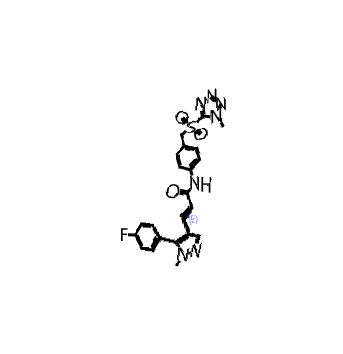 Cn1nnnc1S(=O)(=O)Cc1ccc(NC(=O)/C=C/c2cnn(C)c2-c2ccc(F)cc2)cc1